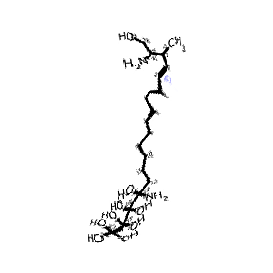 CC(/C=C/CCCCCCCCCC(N)(O)C(O)(O)C(O)(O)C(O)(O)O)[C@@H](N)CO